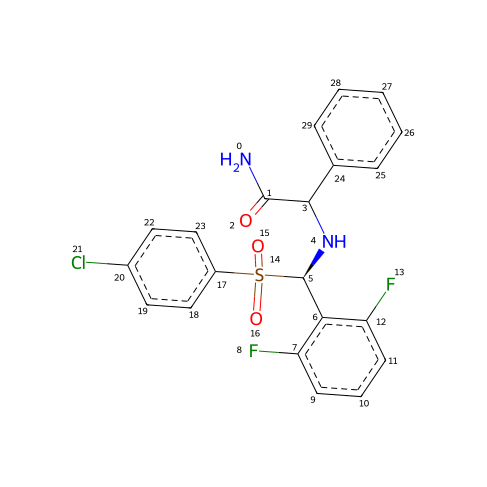 NC(=O)C(N[C@@H](c1c(F)cccc1F)S(=O)(=O)c1ccc(Cl)cc1)c1ccccc1